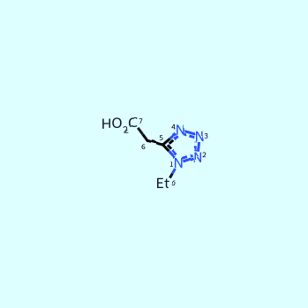 CCn1nnnc1CC(=O)O